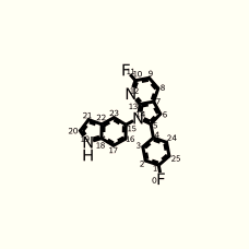 Fc1ccc(-c2cc3ccc(F)nc3n2-c2ccc3[nH]ccc3c2)cc1